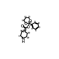 O=C(OC1(c2ccccc2)OCCCO1)N1CCNCC1